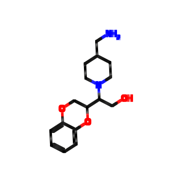 NCC1CCN(C(CO)C2COc3ccccc3O2)CC1